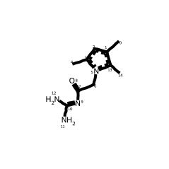 Cc1cc(C)n(CC(=O)N=C(N)N)c1C